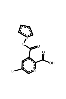 O=C(On1cccc1)c1cc(Br)cnc1C(=O)O